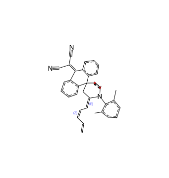 C=C/C=C\C=C1/CC2(c3ccccc3C(=C(C#N)C#N)c3ccccc32)c2ccccc2N1c1c(C)cccc1C